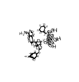 Nc1ncnc2c1ncn2[C@@H]1O[C@H](COP(=O)(O)OP(=O)(O)OP(=O)(O)SCC2CCCCC2)C2OC(Cc3ccccc3)O[C@@H]21